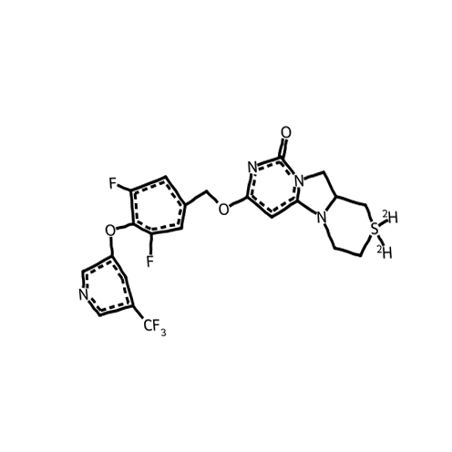 [2H]S1([2H])CCN2c3cc(OCc4cc(F)c(Oc5cncc(C(F)(F)F)c5)c(F)c4)nc(=O)n3CC2C1